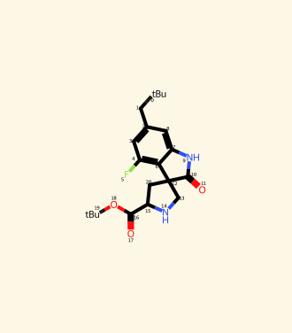 CC(C)(C)Cc1cc(F)c2c(c1)NC(=O)C21CNC(C(=O)OC(C)(C)C)C1